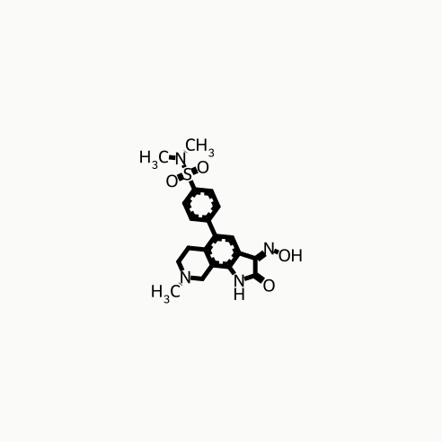 CN1CCc2c(-c3ccc(S(=O)(=O)N(C)C)cc3)cc3c(c2C1)NC(=O)C3=NO